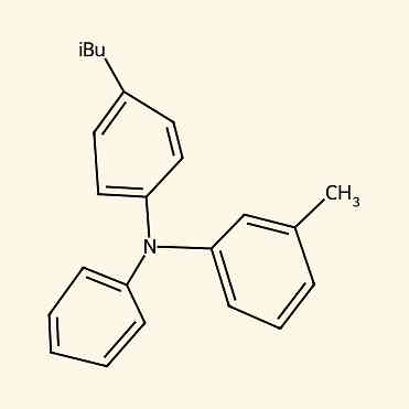 CCC(C)c1ccc(N(c2ccccc2)c2cccc(C)c2)cc1